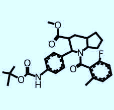 COC(=O)C1CC2CCCC2N(C(=O)c2c(C)cccc2F)C1c1ccc(NC(=O)OC(C)(C)C)cc1